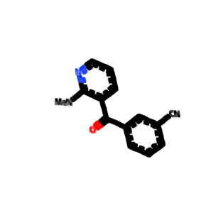 CNc1ncccc1C(=O)c1cccc(C#N)c1